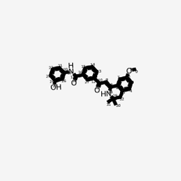 COc1ccc2c(c1)C(=CC(=O)c1cccc(C(=O)Nc3cccc(O)c3)c1)NC(C)(C)C2